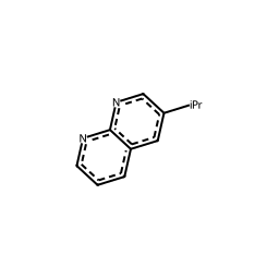 CC(C)c1cnc2ncccc2c1